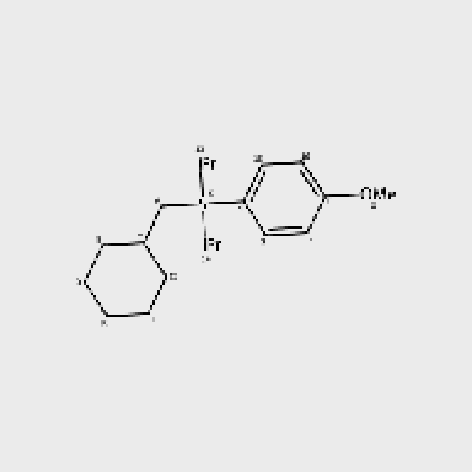 COc1ccc(S(CC2CCCCC2)(C(C)C)C(C)C)cc1